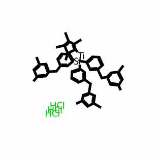 CC1=C(C)C(C)[C]([Ti][Si](c2cccc(Cc3cc(C)cc(C)c3)c2)(c2cccc(Cc3cc(C)cc(C)c3)c2)c2cccc(Cc3cc(C)cc(C)c3)c2)=C1C.Cl.Cl.Cl